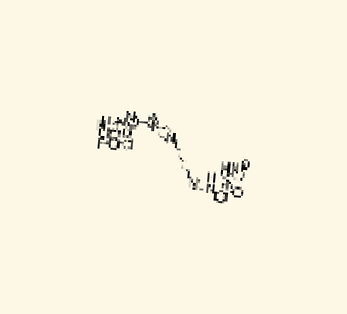 CC(Oc1cc(-c2cnn(C3CCN(CCCCCCCCN4CC(CNc5cccc6c5CN(C5CCC(=O)NC5=O)C6=O)C4)CC3)c2)cnc1N)c1c(Cl)ccc(F)c1Cl